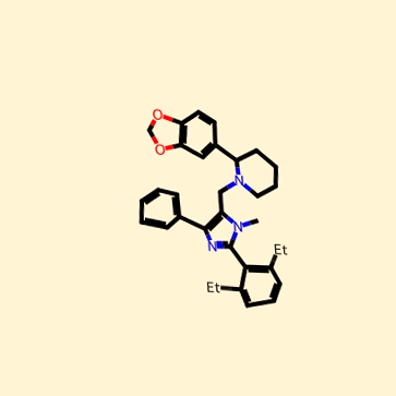 CCc1cccc(CC)c1-c1nc(-c2ccccc2)c(CN2CCCCC2c2ccc3c(c2)OCO3)n1C